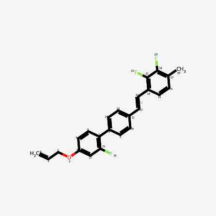 C=CCOc1ccc(-c2ccc(/C=C/c3ccc(C)c(F)c3F)cc2)c(F)c1